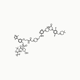 Cc1ncsc1-c1ccc(CNC(=O)[C@@H]2C[C@@H](O)CN2C(=O)[C@@H](NC(=O)C2(F)CC2)C(C)(C)C)c(OCCNC(=O)CN2CCN(CCNc3cc(N4CCC5(CC4)CN(c4cc(F)c(CN6CCC(C)(C)CC6)cc4F)CC(=O)N5)ncn3)CC2)c1